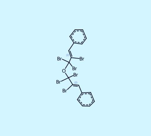 Br/C(=C\c1ccccc1)C(Br)(Br)OC(Br)(Br)/C(Br)=C/c1ccccc1